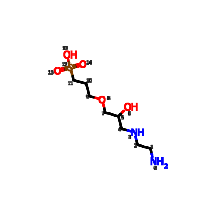 NCCNCC(O)COCCCS(=O)(=O)O